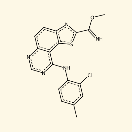 COC(=N)c1nc2ccc3ncnc(Nc4ccc(C)cc4Cl)c3c2s1